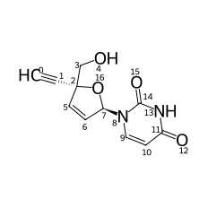 C#C[C@@]1(CO)C=C[C@H](n2ccc(=O)[nH]c2=O)O1